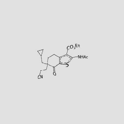 CCOC(=O)c1c(NC(C)=O)sc2c1CCC(CCC#N)(CC1CC1)C2=O